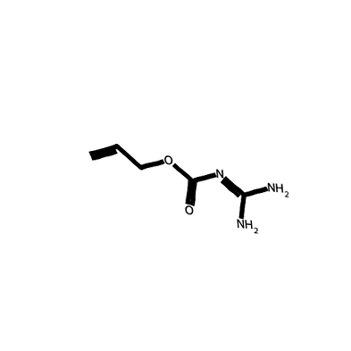 C=CCOC(=O)N=C(N)N